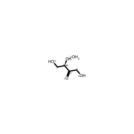 O.O=C(CO)[C@H](O)CO